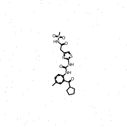 Cc1ccc(NC(=O)Nc2nc(CC(=O)NS(C)(=O)=O)cs2)c(C(=O)C2CCCC2)c1